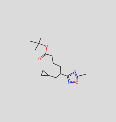 Cc1nc(C(CCCC(=O)OC(C)(C)C)CC2CC2)no1